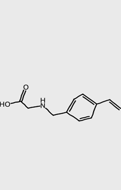 C=Cc1ccc(CNCC(=O)O)cc1